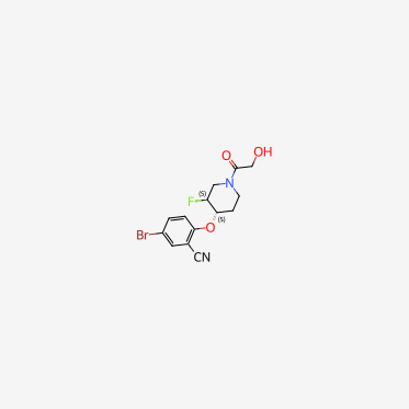 N#Cc1cc(Br)ccc1O[C@H]1CCN(C(=O)CO)C[C@@H]1F